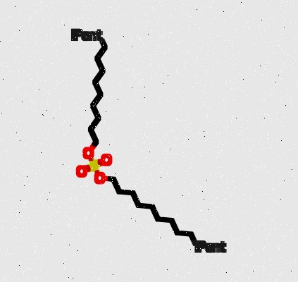 CCCC(C)CCCCCCCCCOS(=O)(=O)OCCCCCCCCCC(C)CCC